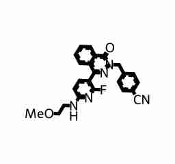 COCCNc1ccc(-c2nn(Cc3ccc(C#N)cc3)c(=O)c3ccccc23)c(F)n1